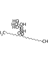 CCCCCCCCCCCCCCC(CCCCCCCCCCC)OC(=O)NCC(=O)[C@@H](O)[C@H](O)[C@H](O)CO